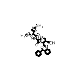 C#CC1=C(C(=O)OC(c2ccccc2)c2ccccc2)N2C(=O)C(NC(=O)C(=NOC)c3csc(N)n3)[C@@H]2SC1